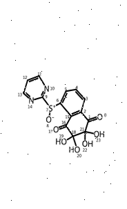 O=C1c2cccc([S+]([O-])c3ncccn3)c2C(=O)C(O)(O)C1(O)O